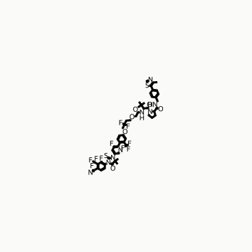 Cc1ncsc1-c1ccc(CNC(=O)C2CCCN2C(=O)C(NC(=O)COCCC(F)(F)COc2ccc(-c3ncc(N4C(=S)N(c5ccc(C#N)c(C(F)(F)F)c5F)C(=O)C4(C)C)cc3F)c(C(F)(F)F)c2)C(C)(C)C)cc1